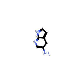 NC1=CN=C2N=CC=C2C1